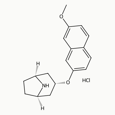 COc1ccc2ccc(O[C@@H]3C[C@H]4CC[C@@H](C3)N4)cc2c1.Cl